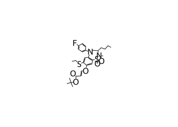 CCCCC1CN(c2ccc(F)cc2)c2cc(SCC)c(O/C=C/C(=O)OC(C)(C)C)cc2S(=O)(=O)N1C